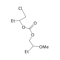 CCC(COC(=O)OC(CC)CCl)OC